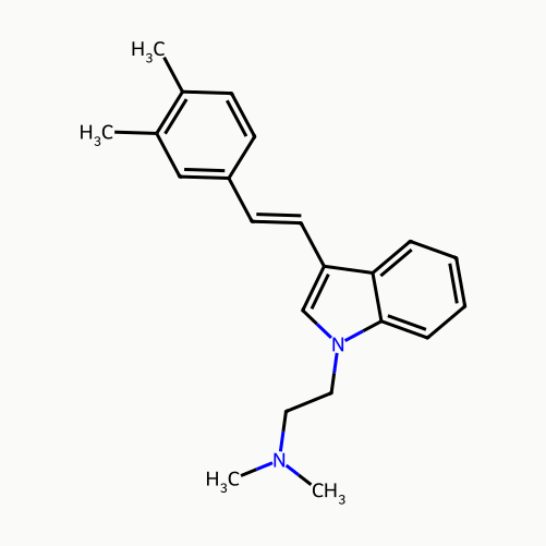 Cc1ccc(/C=C/c2cn(CCN(C)C)c3ccccc23)cc1C